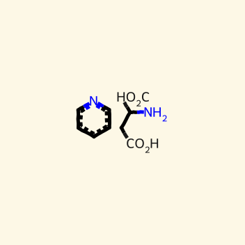 NC(CC(=O)O)C(=O)O.c1ccncc1